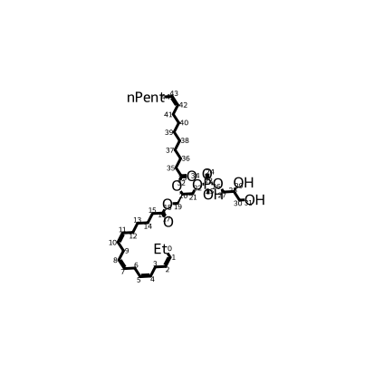 CC/C=C\C/C=C\C/C=C\C/C=C\CCCCC(=O)OC[C@H](COP(=O)(O)OC[C@@H](O)CO)OC(=O)CCCCCCC/C=C\CCCCC